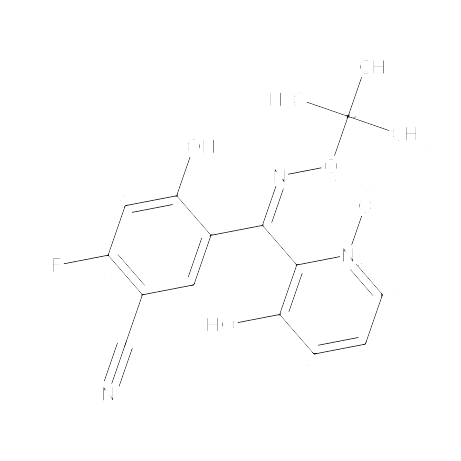 CC(C)(C)ON=C(c1cc(C#N)c(F)cc1O)c1c(O)ccc[n+]1[O-]